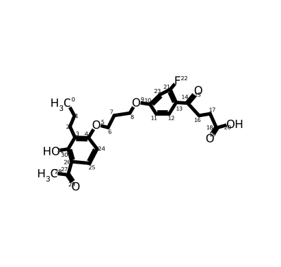 CCCc1c(OCCCOc2ccc(C(=O)CCC(=O)O)c(F)c2)ccc(C(C)=O)c1O